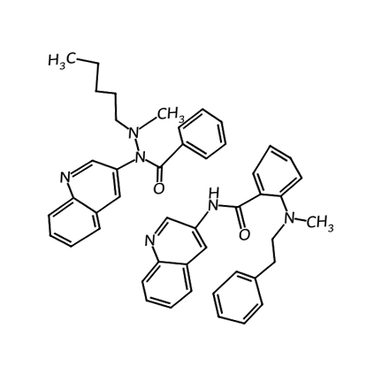 CCCCCN(C)N(C(=O)c1ccccc1)c1cnc2ccccc2c1.CN(CCc1ccccc1)c1ccccc1C(=O)Nc1cnc2ccccc2c1